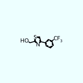 OCc1nc(-c2cccc(C(F)(F)F)c2)cs1